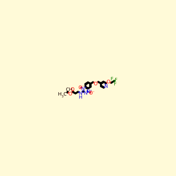 CC(C)OC(=O)CCNc1n[n+]([O-])c2cc(COCc3ccnc(OCC(F)(F)F)c3)ccc2[n+]1[O-]